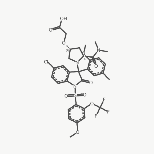 COc1ccc(S(=O)(=O)N2C(=O)C(c3cc(C)ccc3OC)(N3C[C@H](OCC(=O)O)C[C@H]3C(=O)N(C)C)c3cc(Cl)ccc32)c(OC(F)(F)F)c1